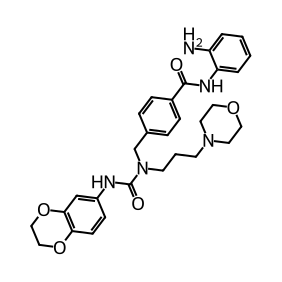 Nc1ccccc1NC(=O)c1ccc(CN(CCCN2CCOCC2)C(=O)Nc2ccc3c(c2)OCCO3)cc1